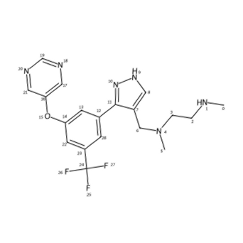 CNCCN(C)Cc1c[nH]nc1-c1cc(Oc2cncnc2)cc(C(F)(F)F)c1